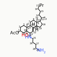 CC(=O)O[C@H]1CC[C@]2(C)[C@H]3CC[C@]4(C)[C@@H]([C@H](C)CCCC(C)C)CC[C@H]4C3=C[C@@H](NCCCCN)[C@@]2(O)C1